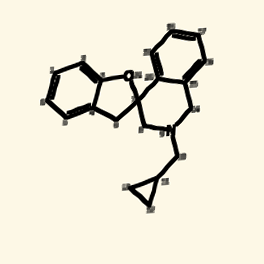 c1ccc2c(c1)CC1(CN(CC3CC3)Cc3ccccc31)O2